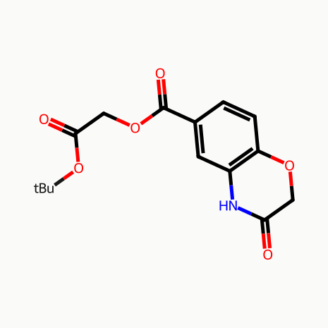 CC(C)(C)OC(=O)COC(=O)c1ccc2c(c1)NC(=O)CO2